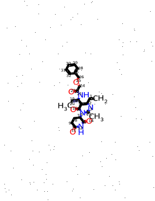 C=Cc1nc(C)n(C2CCC(=O)NC2=O)c(=O)c1/C(=C\C)NC(=O)COCc1ccccc1